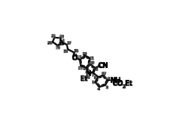 CCOC(=O)Nc1cccc(-c2c(C#N)c3ccc(OCCCN4CCCC4)cc3n2CC)c1